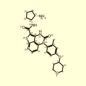 Cc1cc(OC2CCOCC2)ccc1N1C(=O)Nc2c(C(=O)N[C@@H]3CCC[C@@H]3N)sc3nccc1c23